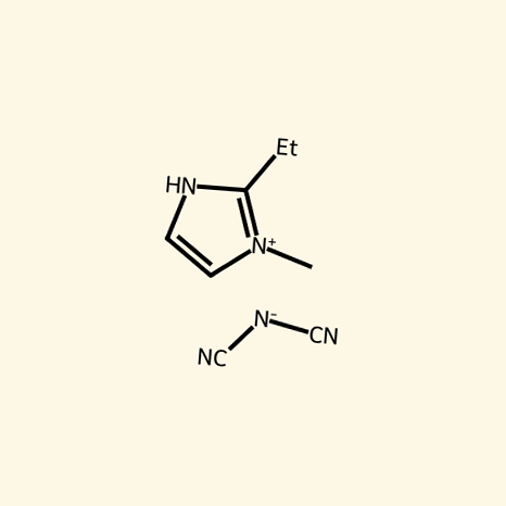 CCc1[nH]cc[n+]1C.N#C[N-]C#N